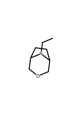 CCN1C2CCC1COC2